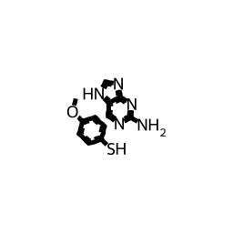 COc1ccc(S)cc1.Nc1ncc2[nH]cnc2n1